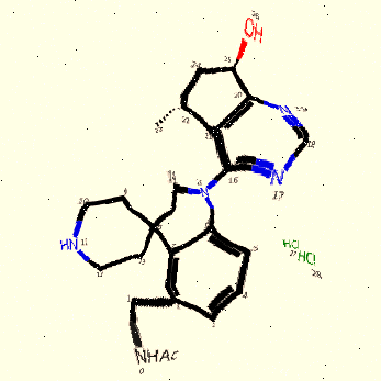 CC(=O)NCc1cccc2c1C1(CCNCC1)CN2c1ncnc2c1[C@H](C)C[C@H]2O.Cl.Cl